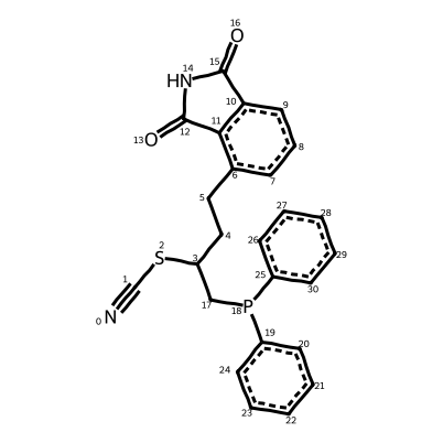 N#CSC(CCc1cccc2c1C(=O)NC2=O)CP(c1ccccc1)c1ccccc1